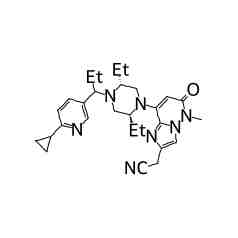 CCC(c1ccc(C2CC2)nc1)N1C[C@H](CC)N(c2cc(=O)n(C)n3cc(CC#N)nc23)C[C@H]1CC